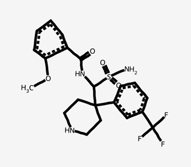 COc1ccccc1C(=O)NC(C1(c2cccc(C(F)(F)F)c2)CCNCC1)S(N)(=O)=O